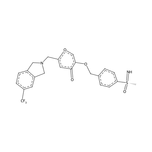 C[S@](=N)(=O)c1ccc(COc2coc(CN3Cc4ccc(C(F)(F)F)cc4C3)cc2=O)cc1